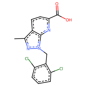 Cc1nn(Cc2c(Cl)cccc2Cl)c2nc(C(=O)O)ccc12